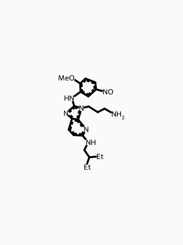 CCC(CC)CNc1ccc2nc(Nc3cc(N=O)ccc3OC)n(CCCN)c2n1